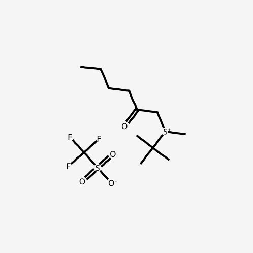 CCCCC(=O)C[S+](C)C(C)(C)C.O=S(=O)([O-])C(F)(F)F